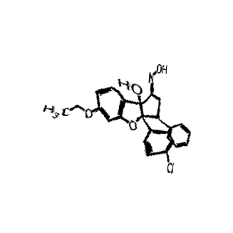 CCOc1ccc2c(c1)O[C@@]1(c3ccc(Cl)cc3)[C@H](c3ccccc3)CC(=NO)[C@@]21O